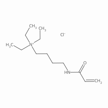 C=CC(=O)NCCCC[N+](CC)(CC)CC.[Cl-]